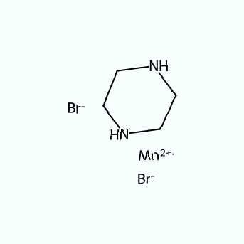 C1CNCCN1.[Br-].[Br-].[Mn+2]